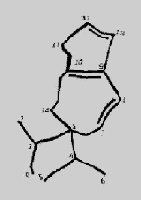 CC(C)C1(C(C)C)C=CC2=C(CC=C2)C1